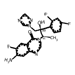 C[C@@H](n1cnc2cc(N)c(F)cc2c1=O)[C@](O)(Cn1cncn1)c1ccc(F)cc1F